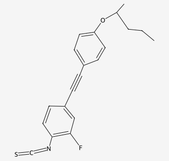 CCCC(C)Oc1ccc(C#Cc2ccc(N=C=S)c(F)c2)cc1